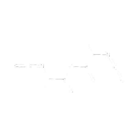 CC(N=C=O)C(=O)OC(=O)C(C)N=C=O